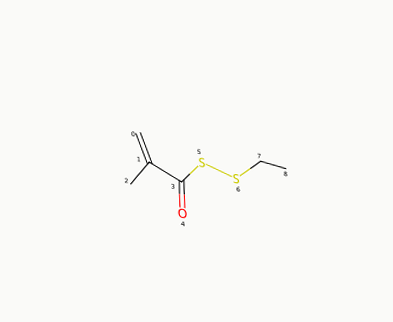 C=C(C)C(=O)SSCC